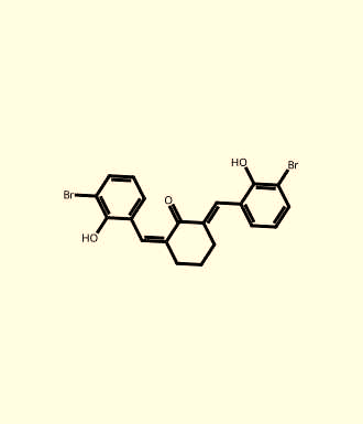 O=C1C(=Cc2cccc(Br)c2O)CCCC1=Cc1cccc(Br)c1O